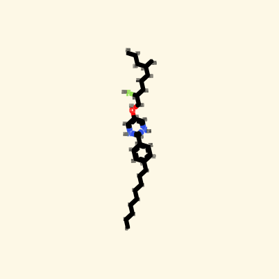 CCCCCCCCCc1ccc(-c2ncc(OCC(F)CCCC(C)CCC)cn2)cc1